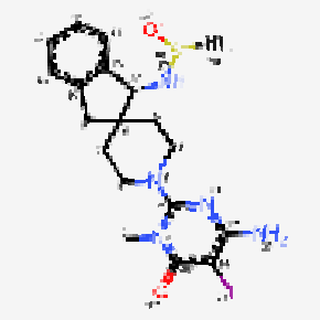 Cn1c(N2CCC3(CC2)Cc2ccccc2[C@H]3N[S+]([O-])C(C)(C)C)nc(N)c(I)c1=O